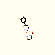 O=C(O)[C@H]1CCCCN1S(=O)(=O)N1CC=C(c2ccc(F)c(Cl)c2)CC1